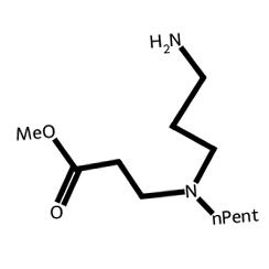 CCCCCN(CCCN)CCC(=O)OC